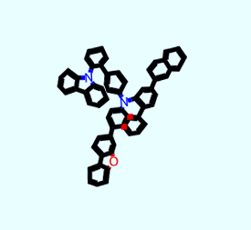 c1ccc(-c2ccc(-c3ccc4ccccc4c3)cc2N(c2ccc(-c3ccc4c(c3)oc3ccccc34)cc2)c2ccc(-c3ccccc3-n3c4ccccc4c4ccccc43)cc2)cc1